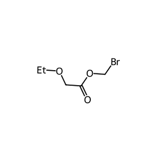 CCOCC(=O)OCBr